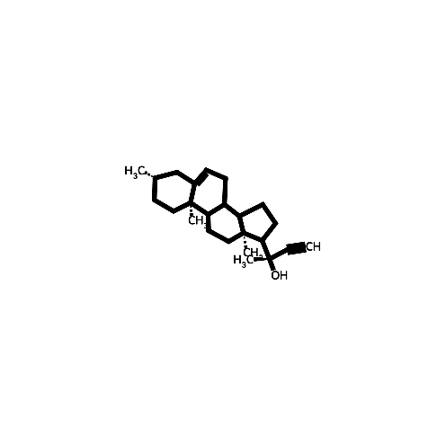 C#C[C@](C)(O)C1CCC2C3CC=C4C[C@@H](C)CC[C@]4(C)C3CC[C@@]21C